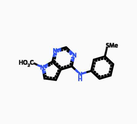 CSc1cccc(Nc2ncnc3c2ccn3C(=O)O)c1